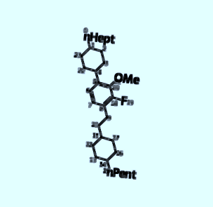 CCCCCCCC1CCC(c2ccc(CCC3CCC(CCCCC)CC3)c(F)c2OC)CC1